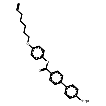 C=CCCCCCOc1ccc(OC(=O)c2ccc(-c3ccc(CCCCCCC)cc3)cc2)cc1